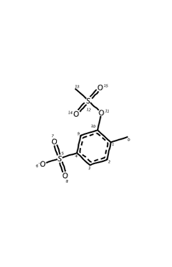 Cc1ccc(S([O])(=O)=O)cc1OS(C)(=O)=O